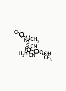 Cc1oc(-c2ccc(Cl)cc2)nc1CSc1nc(N)c(C#N)c(-c2ccc(OCC(O)C(F)(F)F)cc2)c1C#N